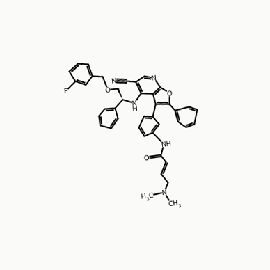 CN(C)C/C=C/C(=O)Nc1cccc(-c2c(-c3ccccc3)oc3ncc(C#N)c(N[C@H](COCc4cccc(F)c4)c4ccccc4)c23)c1